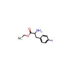 N#CCOC(=O)C(N)Cc1ccc(I)cc1